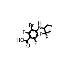 CCC(Nc1cc(F)c(C(=O)O)c(F)c1Br)C(F)(F)F